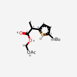 CCCCc1ccc(C(C)C(=O)OCOC(C)=O)s1